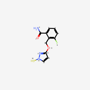 NC(=O)c1cccc(F)c1COc1ccn(S)n1